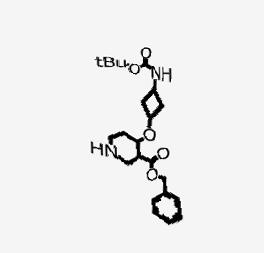 CC(C)(C)OC(=O)NC1CC(OC2CCNCC2C(=O)OCc2ccccc2)C1